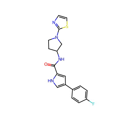 O=C(NC1CCN(c2nccs2)C1)c1cc(-c2ccc(F)cc2)c[nH]1